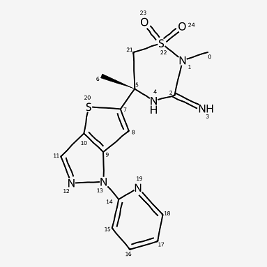 CN1C(=N)N[C@](C)(c2cc3c(cnn3-c3ccccn3)s2)CS1(=O)=O